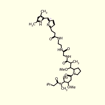 CCC(C)C(C(CC(=O)N1CCCC1C(OC)C(C)C(=O)NCC(=O)NCCNC(=O)CCC1=N/C(=C\c2[nH]c(C)cc2C)C=C1)OC)N(C)C(=O)CC(C)C